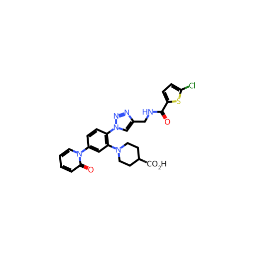 O=C(NCc1cn(-c2ccc(-n3ccccc3=O)cc2N2CCC(C(=O)O)CC2)nn1)c1ccc(Cl)s1